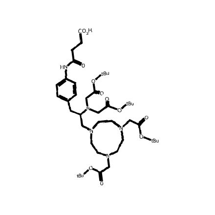 CC(C)(C)OC(=O)CN1CCN(CC(=O)OC(C)(C)C)CCN(CC(Cc2ccc(NC(=O)CCC(=O)O)cc2)N(CC(=O)OC(C)(C)C)CC(=O)OC(C)(C)C)CC1